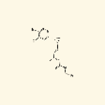 CC(C=C[C@@H]1C[C@H]1c1ccc(Br)c(Cl)c1)=CC(=O)NCC(C)C